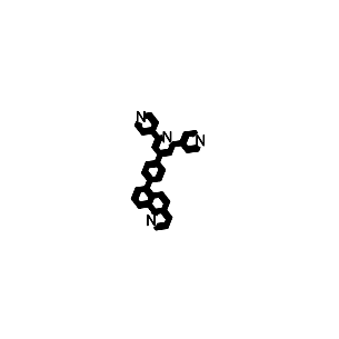 c1cnc2c(c1)ccc1c(-c3ccc(-c4cc(-c5ccncc5)nc(-c5ccncc5)c4)cc3)cccc12